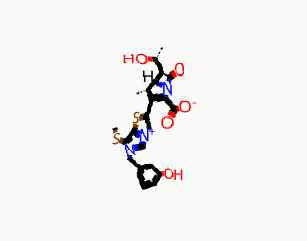 CSc1c2sc(C3=C(C(=O)[O-])N4C(=O)[C@H]([C@@H](C)O)[C@H]4[C@H]3C)c[n+]2cn1Cc1cccc(O)c1